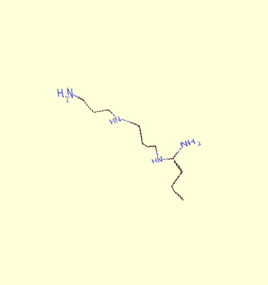 CCCC(N)NCCCNCCCN